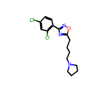 Clc1ccc(-c2noc(CCCCN3CCCC3)n2)c(Cl)c1